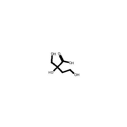 O=C(O)C(O)(CO)CCO